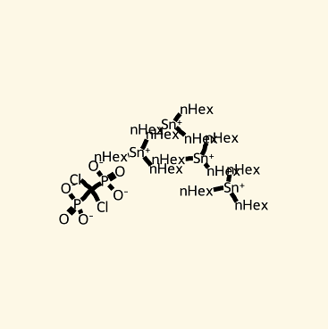 CCCCC[CH2][Sn+]([CH2]CCCCC)[CH2]CCCCC.CCCCC[CH2][Sn+]([CH2]CCCCC)[CH2]CCCCC.CCCCC[CH2][Sn+]([CH2]CCCCC)[CH2]CCCCC.CCCCC[CH2][Sn+]([CH2]CCCCC)[CH2]CCCCC.O=P([O-])([O-])C(Cl)(Cl)P(=O)([O-])[O-]